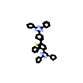 c1ccc(-c2cc(-c3ccc(-c4ccc(-c5nc(-c6ccccc6)nc(-c6ccccc6)n5)cc4)c4sc5ccccc5c34)nc(-c3ccccc3)n2)cc1